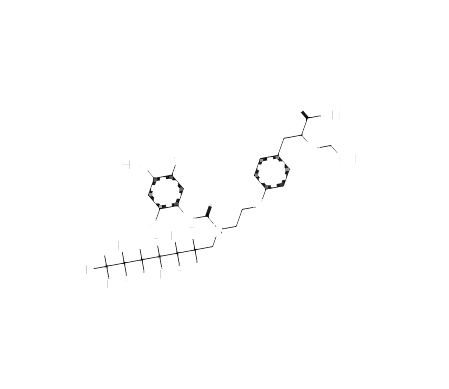 CCOC(Cc1ccc(OCCN(CC(F)(F)C(F)(F)C(F)(F)C(F)(F)C(F)(F)C(F)(F)F)C(=O)Oc2cc(C)c(C)cc2C)cc1)C(=O)O